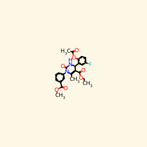 CCOC(=O)C1=C(C)N(c2cccc(C(=O)OC)c2)C(=O)NC1c1cc(F)ccc1OC(C)=O